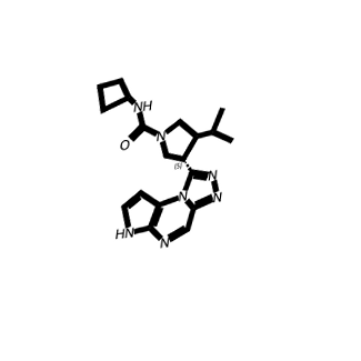 CC(C)C1CN(C(=O)NC2CCC2)C[C@H]1c1nnc2cnc3[nH]ccc3n12